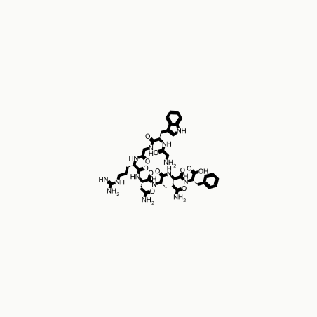 C[C@H](NC(=O)[C@H](CC(N)=O)NC(=O)[C@H](CCCNC(=N)N)NC(=O)CNC(=O)[C@H](Cc1c[nH]c2ccccc12)NC(=O)CN)C(=O)N[C@@H](CC(N)=O)C(=O)N[C@@H](Cc1ccccc1)C(=O)O